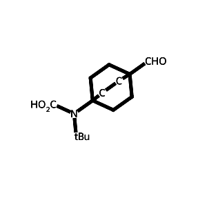 CC(C)(C)N(C(=O)O)C12CCC(C=O)(CC1)CC2